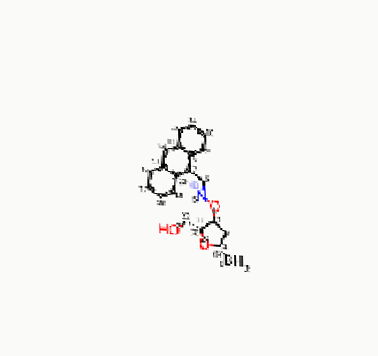 B[C@H]1CC(O/N=C/c2c3ccccc3cc3ccccc23)[C@@H](CO)O1